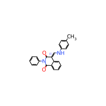 Cc1ccc(N/C=C2/C(=O)N(c3ccccc3)C(=O)c3ccccc32)cc1